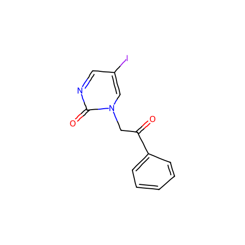 O=C(Cn1cc(I)cnc1=O)c1ccccc1